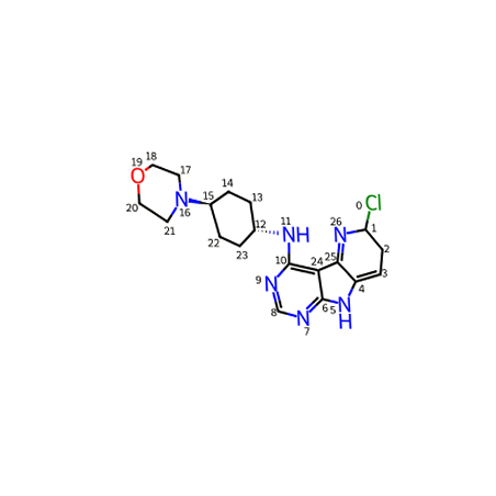 ClC1CC=c2[nH]c3ncnc(N[C@H]4CC[C@H](N5CCOCC5)CC4)c3c2=N1